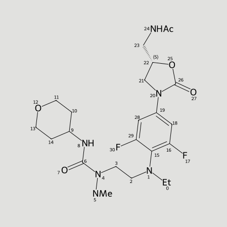 CCN(CCN(NC)C(=O)NC1CCOCC1)c1c(F)cc(N2C[C@H](CNC(C)=O)OC2=O)cc1F